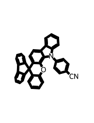 N#Cc1ccc(-n2c3ccccc3c3ccc4c(c32)Oc2ccccc2C42c3ccccc3-c3ccccc32)cc1